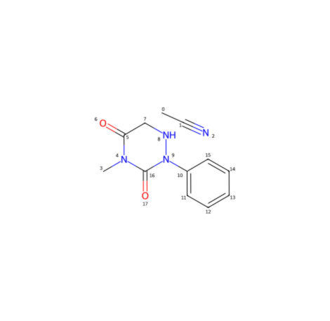 CC#N.CN1C(=O)CNN(c2ccccc2)C1=O